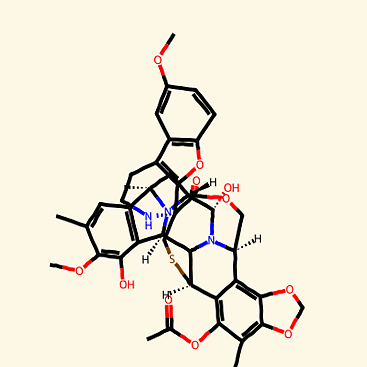 COc1ccc2oc3c(c2c1)CCN[C@]31CS[C@@H]2c3c(OC(C)=O)c(C)c4c(c3[C@H](COC1=O)N1C2[C@H]2c3c(cc(C)c(OC)c3O)[C@@]3(C)C[C@H]([C@@H]1O)N23)OCO4